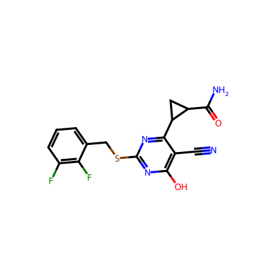 N#Cc1c(O)nc(SCc2cccc(F)c2F)nc1C1CC1C(N)=O